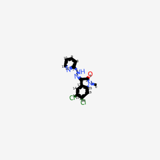 CN1C(=O)C(=NNc2ccccn2)c2cc(Cl)c(Cl)cc21